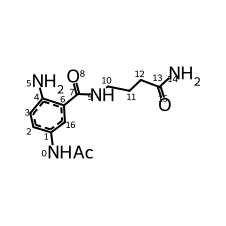 CC(=O)Nc1ccc(N)c(C(=O)NCCCC(N)=O)c1